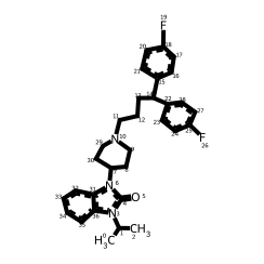 CC(C)n1c(=O)n(C2CCN(CCCC(c3ccc(F)cc3)c3ccc(F)cc3)CC2)c2ccccc21